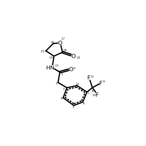 O=C(Cc1cccc(C(F)(F)F)c1)NC1CCOC1=O